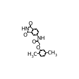 Cc1ccc(C)c(OCC(=O)Nc2ccc3c(c2)C(=O)NC3=O)c1